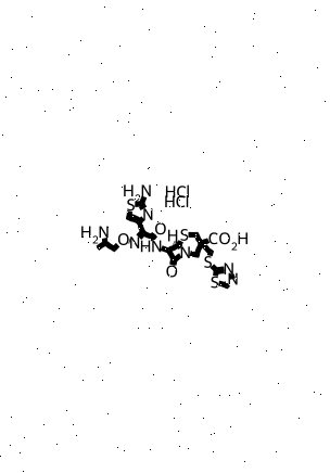 CC(N)CON=C(C(=O)NC1C(=O)N2CC(CSc3nncs3)(C(=O)O)CS[C@H]12)c1csc(N)n1.Cl.Cl